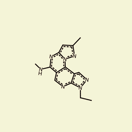 CCn1ncc2c1ncc1c(NC)nc3cc(C)nn3c12